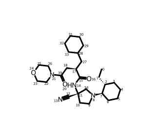 CC[C@@H]1CCCC[C@H]1N1CC[C@](C#N)(NC(=O)[C@@H](CC(=O)N2CCOCC2)CC2CCCCC2)C1